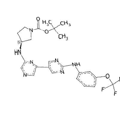 CC(C)(C)OC(=O)N1CC[C@H](Nc2cncc(-c3cnc(Nc4cccc(OC(F)(F)F)c4)nc3)n2)C1